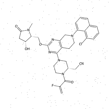 C=C(F)C(=O)N1CCN(c2nc(OC[C@@H]3[C@H](O)CC(=O)N3C)nc3c2CCN(c2cccc4cccc(Cl)c24)C3)C[C@@H]1CC#N